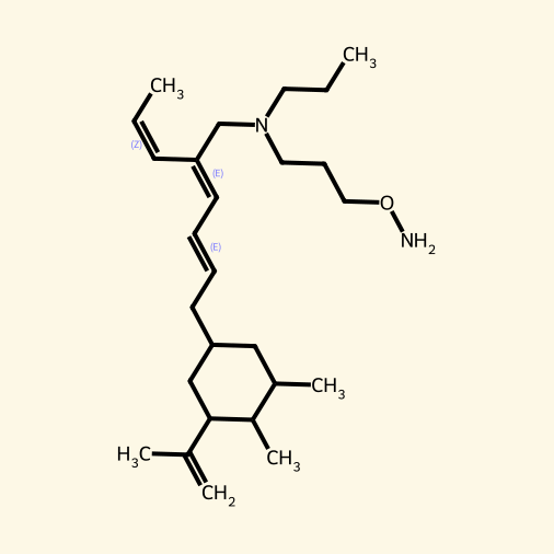 C=C(C)C1CC(C/C=C/C=C(\C=C/C)CN(CCC)CCCON)CC(C)C1C